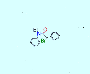 CCN(C(=O)C(Br)c1ccccc1)c1ccccc1